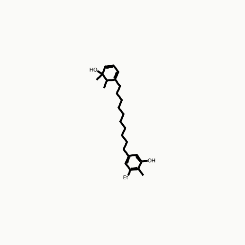 CCc1cc(CCCCCCCCCCC2=CC=CC(C)(O)C2C)cc(O)c1C